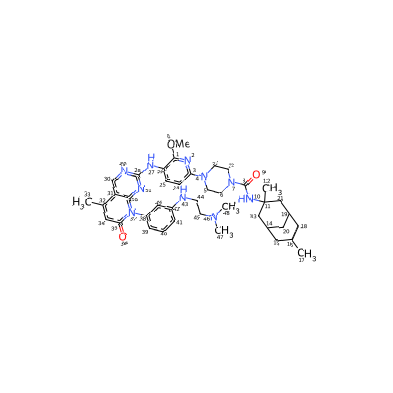 COc1nc(N2CCN(C(=O)NC3(C)CC4CC(C)CC(C4)C3)CC2)ccc1Nc1ncc2c(C)cc(=O)n(-c3cccc(NCCN(C)C)c3)c2n1